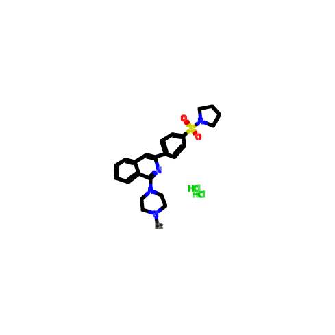 CCN1CCN(c2nc(-c3ccc(S(=O)(=O)N4CCCC4)cc3)cc3ccccc23)CC1.Cl.Cl